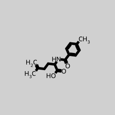 C=C(C)CCC(NC(=O)c1ccc(C)cc1)C(=O)O